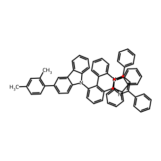 Cc1ccc(-c2ccc3c(c2)c2ccccc2n3-c2cccc(-c3nc(-c4ccccc4)cc(-c4ccccc4)n3)c2-c2ccccc2-n2c3ccccc3c3ccccc32)c(C)c1